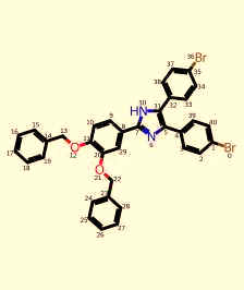 Brc1ccc(-c2nc(-c3ccc(OCc4ccccc4)c(OCc4ccccc4)c3)[nH]c2-c2ccc(Br)cc2)cc1